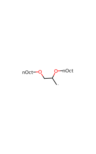 [CH2]C(COCCCCCCCC)OCCCCCCCC